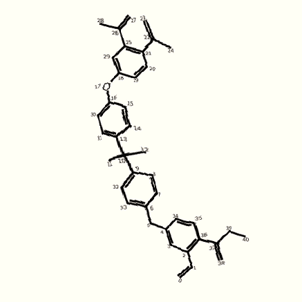 C=Cc1cc(Cc2ccc(C(C)(C)c3ccc(Oc4ccc(C(=C)C)c(C(=C)C)c4)cc3)cc2)ccc1C(=C)CC